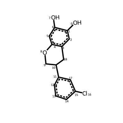 Oc1cc2c(cc1O)OCC(c1cccc(Cl)c1)C2